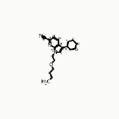 CCCCOCCn1cc(C2CCCCC2)c2ccc(C#N)nc21